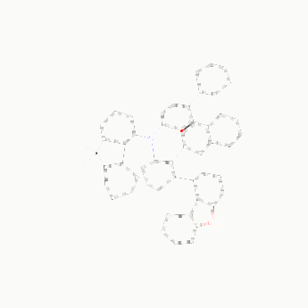 CC1(C)c2ccccc2-c2c(N(c3ccc(-c4ccccc4)cc3)c3cccc(-c4cccc5oc6ccccc6c45)c3-c3ccc4ccccc4c3)cccc21